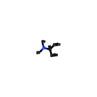 CO[SiH](OC)N(C(C)C)C(C)C